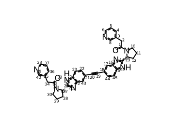 O=C(Cc1cccnc1)N1CCC[C@H]1c1nc2cc(C#Cc3ccc4[nH]c([C@@H]5CCCN5C(=O)Cc5cccnc5)nc4c3)ccc2[nH]1